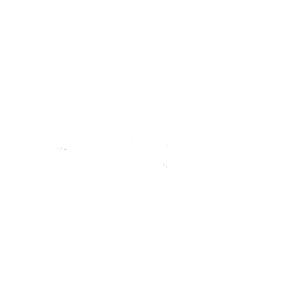 COc1ccc(-c2ccc(Cl)cc2)c(COc2ccc(-c3nc4cc(C(=O)O)ccc4n3C3CCSCC3)c(F)c2)c1